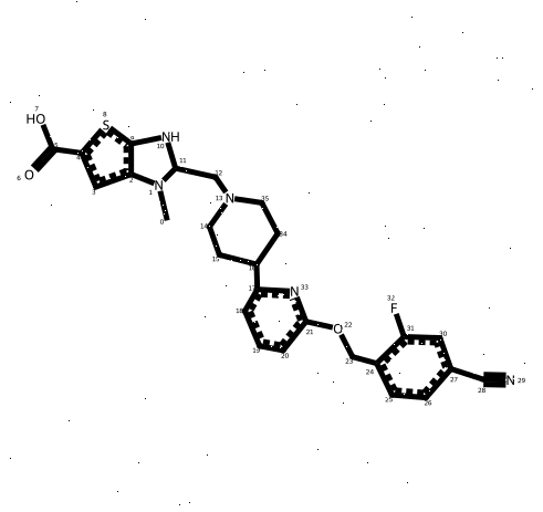 CN1c2cc(C(=O)O)sc2NC1CN1CCC(c2cccc(OCc3ccc(C#N)cc3F)n2)CC1